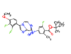 COc1ccc(-c2cnc3c(Nc4cc(C)c(C(=O)OC(C)(C)C)c(F)c4)nccn23)c(F)c1F